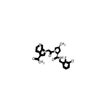 CC(=O)c1cn(CC(=O)N2C[C@@H](C)C[C@H]2C(=O)NCc2cccc(Cl)c2F)c2cnccc12